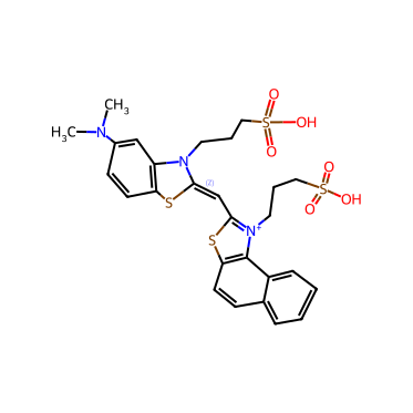 CN(C)c1ccc2c(c1)N(CCCS(=O)(=O)O)/C(=C/c1sc3ccc4ccccc4c3[n+]1CCCS(=O)(=O)O)S2